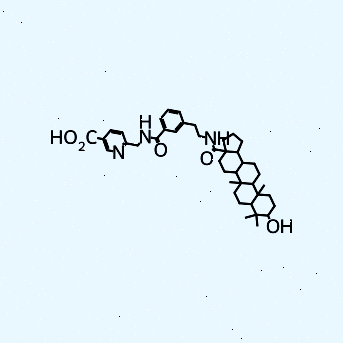 CC1(C)C(O)CCC2(C)C1CCC1(C)C3CCC4(C(=O)NCCc5cccc(C(=O)NCc6ccc(C(=O)O)cn6)c5)CCCC4C3CCC12